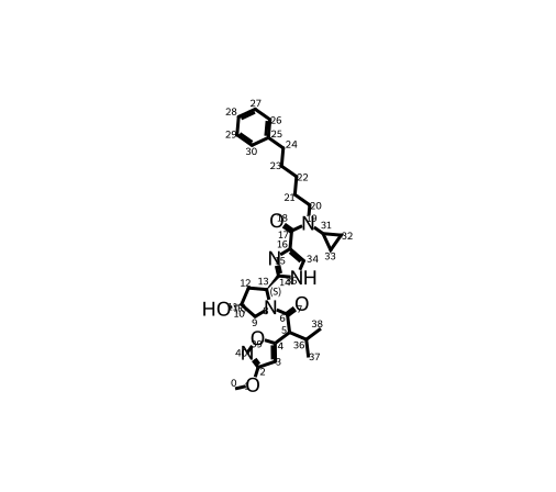 COc1cc(C(C(=O)N2C[C@H](O)C[C@H]2c2nc(C(=O)N(CCCCCc3ccccc3)C3CC3)c[nH]2)C(C)C)on1